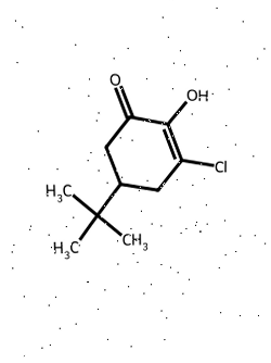 CC(C)(C)C1CC(=O)C(O)=C(Cl)C1